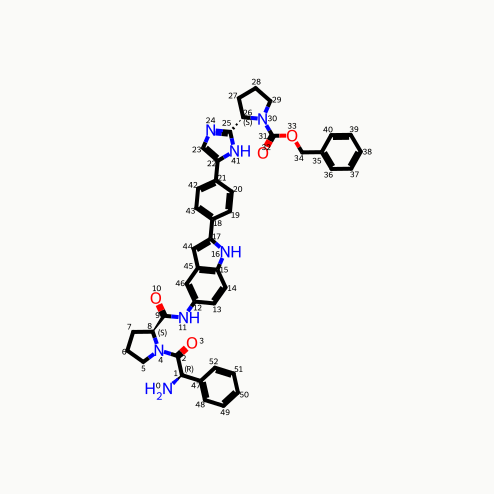 N[C@@H](C(=O)N1CCC[C@H]1C(=O)Nc1ccc2[nH]c(-c3ccc(-c4cnc([C@@H]5CCCN5C(=O)OCc5ccccc5)[nH]4)cc3)cc2c1)c1ccccc1